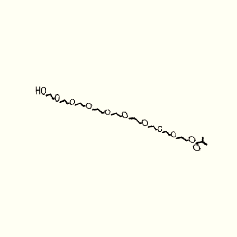 C=C(C)C(=O)OCCCOCCCOCCCOCCCOCCCOCCCOCCCOCCCOCCCO